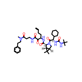 C=CCCC(NC(=O)[C@@H]1[C@@H]2[C@H](CN1C(=O)[C@@H](NC(=O)NC(C)(C)C)C1CCCCC1)C2(C)C)C(=O)C(=O)NCCC(=O)N(C)CCc1ccccc1